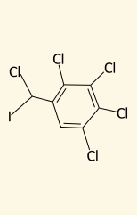 Clc1cc(C(Cl)I)c(Cl)c(Cl)c1Cl